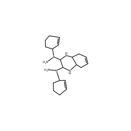 NN(C1C=CCCC1)C1NC2CC=CCC2NC1N(N)C1C=CCCC1